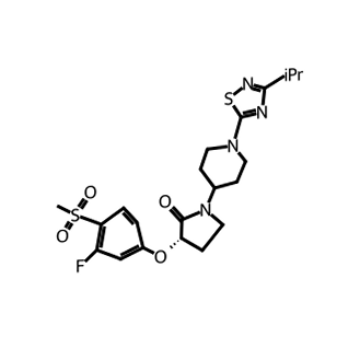 CC(C)c1nsc(N2CCC(N3CC[C@H](Oc4ccc(S(C)(=O)=O)c(F)c4)C3=O)CC2)n1